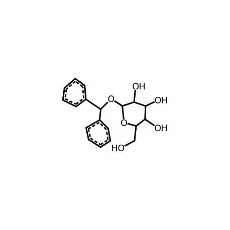 OCC1OC(OC(c2ccccc2)c2ccccc2)C(O)C(O)C1O